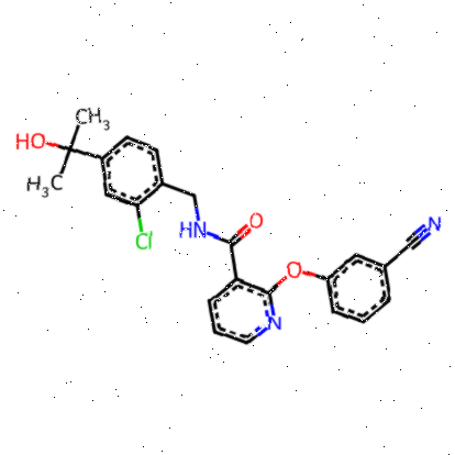 CC(C)(O)c1ccc(CNC(=O)c2cccnc2Oc2cccc(C#N)c2)c(Cl)c1